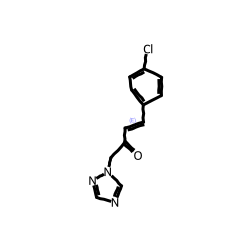 O=C(/C=C/c1ccc(Cl)cc1)Cn1cncn1